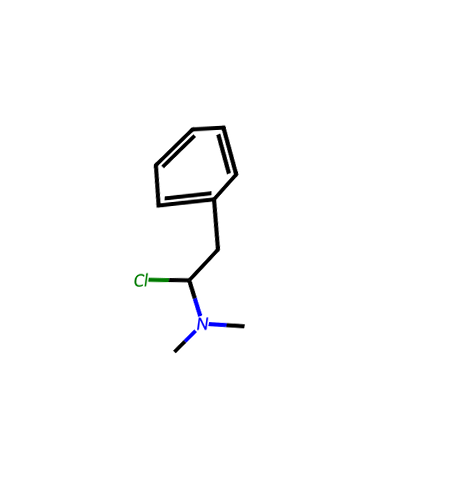 CN(C)C(Cl)Cc1ccccc1